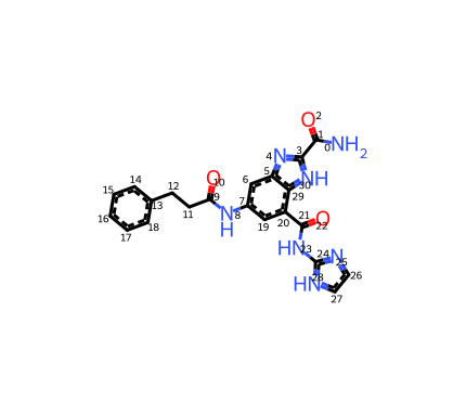 NC(=O)c1nc2cc(NC(=O)CCc3ccccc3)cc(C(=O)Nc3ncc[nH]3)c2[nH]1